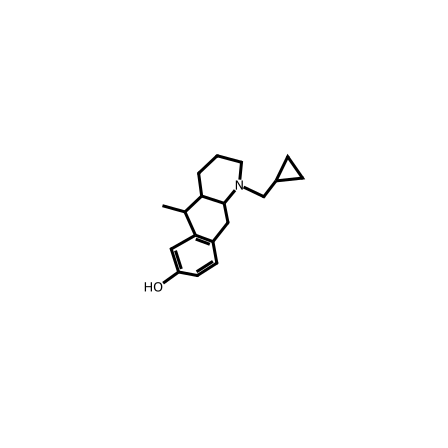 CC1c2cc(O)ccc2CC2C1CCCN2CC1CC1